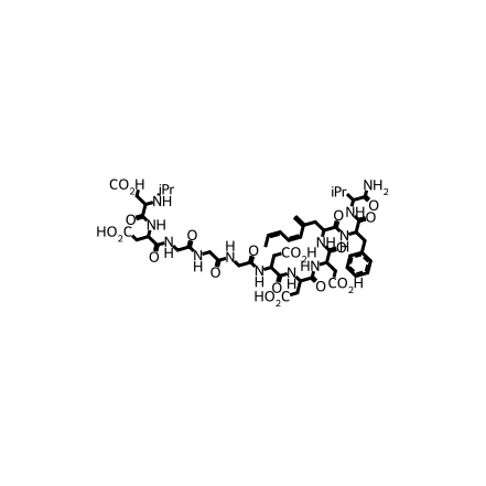 C=C(/C=C\C=C/C)CC(NC(=O)C(CC(=O)O)NC(=O)C(CC(=O)O)NC(=O)C(CC(=O)O)NC(=O)CNC(=O)CNC(=O)CNC(=O)C(CC(=O)O)NC(=O)C(CC(=O)O)NC(C)C)C(=O)NC(Cc1ccccc1)C(=O)NC(C(N)=O)C(C)C